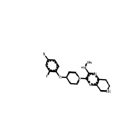 CC(C)(C)Nc1nc2c(nc1N1CCC(Oc3ccc(F)cc3F)CC1)CNCC2